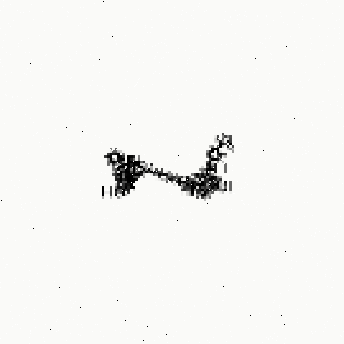 Cc1ncsc1-c1ccc(CNC(=O)[C@@H]2C[C@@H](O)CN2C(=O)[C@@H](NC(=O)COCCCCCCCOc2cc(F)c([C@@H]3c4[nH]c5ccccc5c4C[C@@H](C)N3CC(F)(F)CO)c(F)c2)C(C)(C)C)cc1